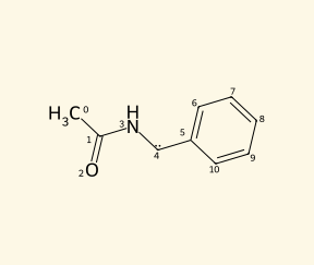 CC(=O)N[C]c1ccccc1